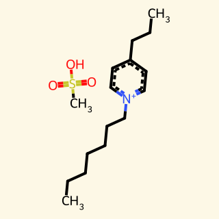 CCCCCCC[n+]1ccc(CCC)cc1.CS(=O)(=O)O